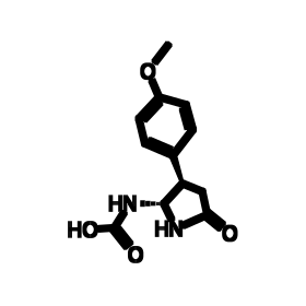 COc1ccc([C@H]2CC(=O)N[C@@H]2NC(=O)O)cc1